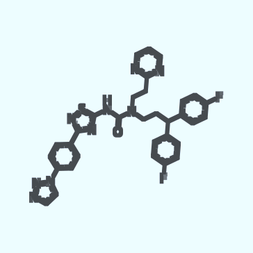 O=C(Nc1nc(-c2ccc(-n3ccnn3)cc2)ns1)N(CCc1ncccn1)CCC(c1ccc(F)cc1)c1ccc(F)cc1